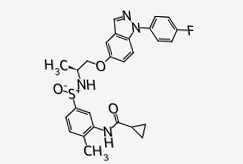 Cc1ccc([S+]([O-])N[C@@H](C)COc2ccc3c(cnn3-c3ccc(F)cc3)c2)cc1NC(=O)C1CC1